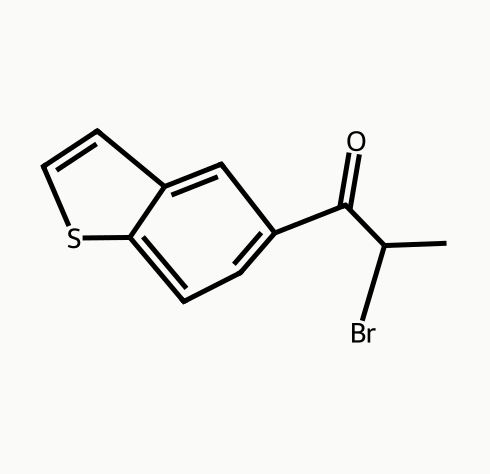 CC(Br)C(=O)c1ccc2sccc2c1